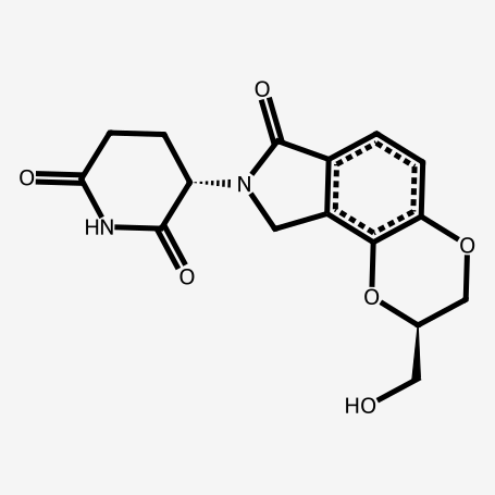 O=C1CC[C@H](N2Cc3c(ccc4c3O[C@H](CO)CO4)C2=O)C(=O)N1